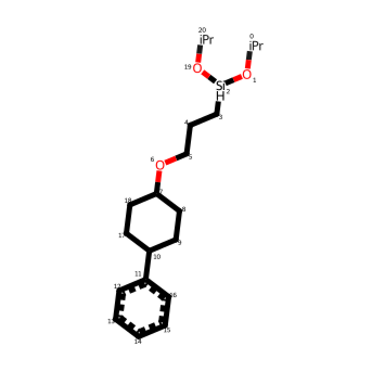 CC(C)O[SiH](CCCOC1CCC(c2ccccc2)CC1)OC(C)C